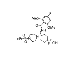 CCCS(=O)(=O)N1CCN(C2(CNC(=O)c3c(OC)cc(F)cc3SC)CCC(F)(F)CC2)CC1.Cl